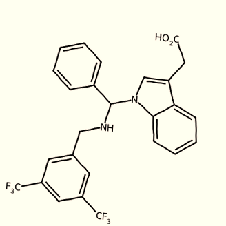 O=C(O)Cc1cn(C(NCc2cc(C(F)(F)F)cc(C(F)(F)F)c2)c2ccccc2)c2ccccc12